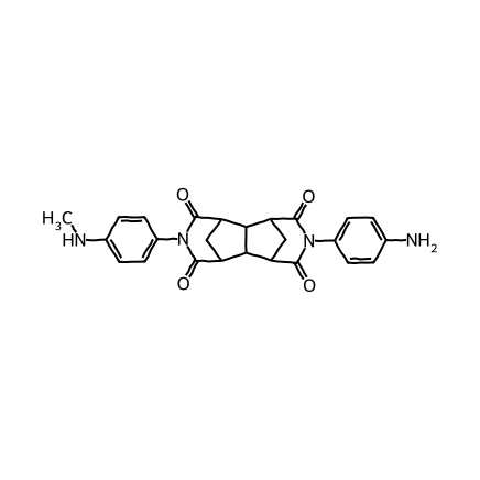 CNc1ccc(N2C(=O)C3CC(C2=O)C2C4CC(C(=O)N(c5ccc(N)cc5)C4=O)C32)cc1